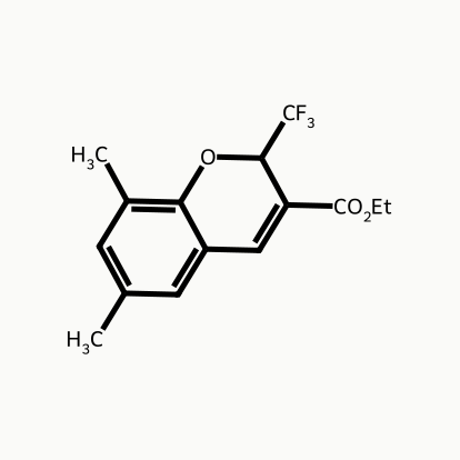 CCOC(=O)C1=Cc2cc(C)cc(C)c2OC1C(F)(F)F